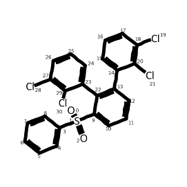 O=S(=O)(c1ccccc1)c1cccc(-c2cccc(Cl)c2Cl)c1-c1cccc(Cl)c1Cl